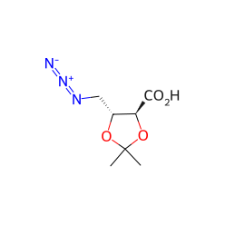 CC1(C)O[C@H](C(=O)O)[C@@H](CN=[N+]=[N-])O1